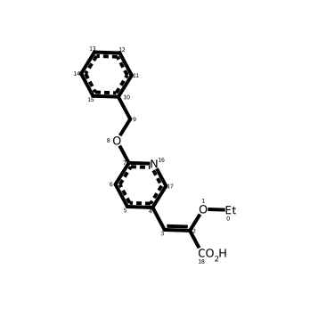 CCO/C(=C\c1ccc(OCc2ccccc2)nc1)C(=O)O